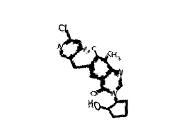 Cc1c(Cc2ccc(Cl)nc2)cc2c(=O)n(C3CCCC3O)cnc2c1C